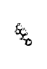 O=C(Nc1cccnc1)c1cnn(CC(F)(F)F)c1C(F)(F)F